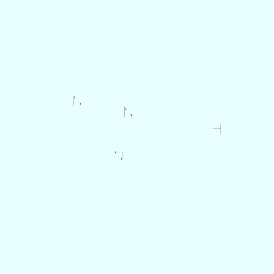 CN1CCN(Cc2c(N)cccc2O)CC1